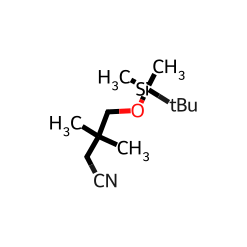 CC(C)(CC#N)CO[Si](C)(C)C(C)(C)C